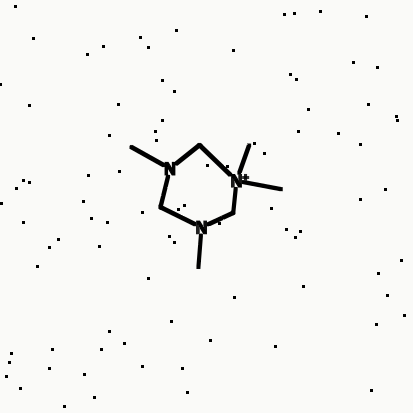 CN1CN(C)C[N+](C)(C)C1